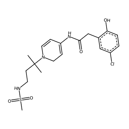 CC(C)(CCNS(C)(=O)=O)N1C=CC(NC(=O)Cc2cc(Cl)ccc2O)=CC1